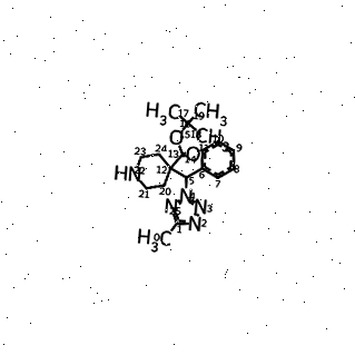 Cc1nnn(C(c2ccccc2)C2(C(=O)OC(C)(C)C)CCNCC2)n1